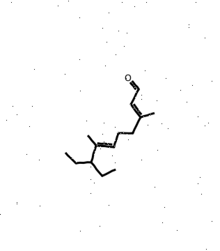 CCC(CC)C(C)=CCCC(C)=CC=O